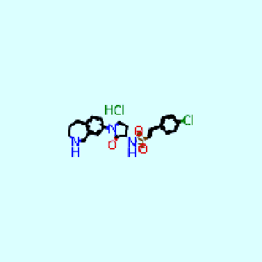 Cl.O=C1[C@@H](NS(=O)(=O)C=Cc2ccc(Cl)cc2)CCN1c1ccc2c(c1)CNCCC2